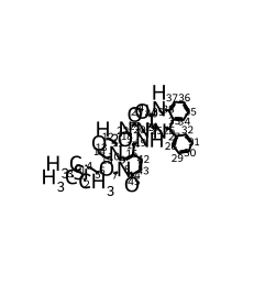 C[Si](C)(C)CCOCn1c(N2CCOCC2)c(C(=O)NN(C(N)=O)[C@@H]2N=C(c3ccccc3)c3ccccc3NC2=O)ccc1=O